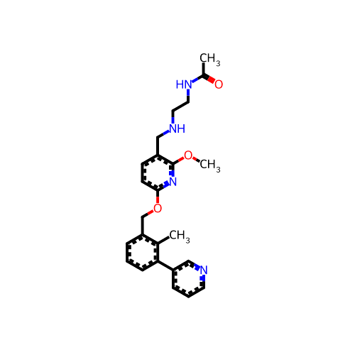 COc1nc(OCc2cccc(-c3cccnc3)c2C)ccc1CNCCNC(C)=O